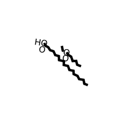 CCCCCC(=O)OCC.CCCCCCCCCCCCCCCCCC(=O)O